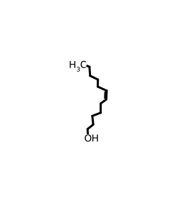 CCCCC/C=C\CCCCCO